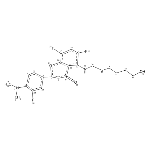 CN(C)c1ccc(-c2cc(=O)c3c(NCCCCCCO)c(F)cc(F)c3o2)cc1F